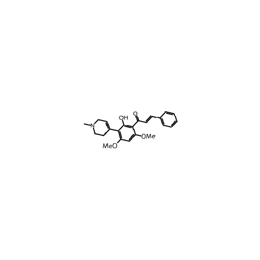 COc1cc(OC)c(C2=CCN(C)CC2)c(O)c1C(=O)C=Cc1ccccc1